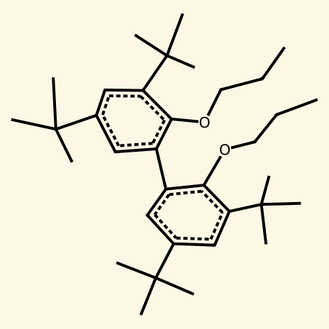 CCCOc1c(-c2cc(C(C)(C)C)cc(C(C)(C)C)c2OCCC)cc(C(C)(C)C)cc1C(C)(C)C